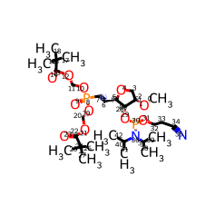 CO[C@H]1CO[C@H](/C=C/P(=O)(OCOC(=O)C(C)(C)C)OCOC(=O)C(C)(C)C)[C@H]1OP(OCCC#N)N(C(C)C)C(C)C